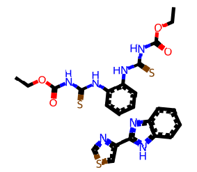 CCOC(=O)NC(=S)Nc1ccccc1NC(=S)NC(=O)OCC.c1ccc2[nH]c(-c3cscn3)nc2c1